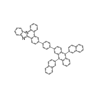 c1ccc2cc(-c3c4ccccc4c(-c4ccc5ccccc5c4)c4cc(-c5ccc(-c6ccc7c(c6)c6ccccc6n6c8ccccc8nc76)cc5)ccc34)ccc2c1